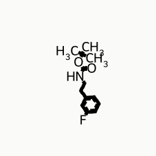 CC(C)(C)OC(=O)NCCc1cccc(F)c1